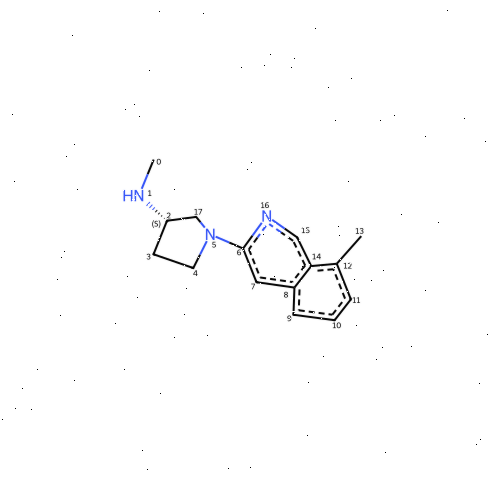 CN[C@H]1CCN(c2cc3cccc(C)c3cn2)C1